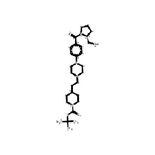 CC(C)(C)OC(=O)N1CCC(CCN2CCN(c3ccc(C(=O)N4CCC[C@H]4CO)cc3)CC2)CC1